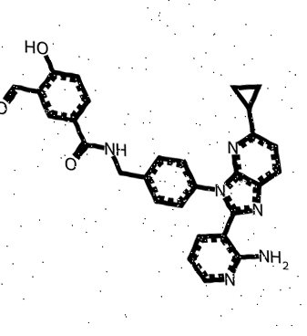 Nc1ncccc1-c1nc2ccc(C3CC3)nc2n1-c1ccc(CNC(=O)c2ccc(O)c(C=O)c2)cc1